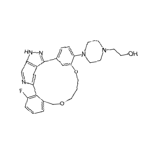 OCCN1CCN(c2ccc3cc2OCCCOCc2cccc(F)c2-c2cc4c-3n[nH]c4cn2)CC1